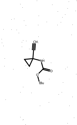 C#CC1(NC(=O)OC(C)(C)C)CC1